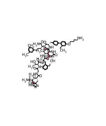 CCc1cc(OCCCCN)ccc1-c1ccc(C[C@H](NC(=O)[C@H](CC(=O)O)NC(=O)[C@H](CO)NC(=O)[C@@H](NC(=O)[C@](C)(Cc2ccccc2F)NC(=O)[C@@H](NC(=O)CNC(=O)[C@H](Cc2nn[nH]n2)NC(=O)C(C)(C)N)[C@@H](C)O)[C@@H](C)O)C(=O)N[C@@H](CCCc2cc(C)cc(C)c2)C(N)=O)cc1